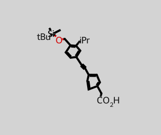 CC(C)c1cc(C#Cc2ccc(CC(=O)O)cc2)ccc1CO[Si](C)(C)C(C)(C)C